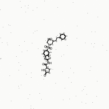 CC(C)CN(CC(O)[CH]Cc1ccccc1)S(=O)(=O)c1ccc2nc(NC(=O)C3CCC(=O)N3)oc2c1